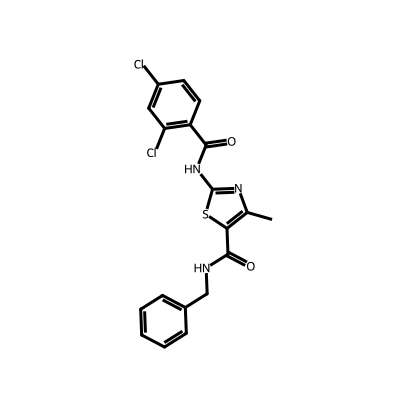 Cc1nc(NC(=O)c2ccc(Cl)cc2Cl)sc1C(=O)NCc1ccccc1